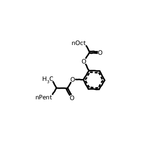 CCCCCCCCC(=O)Oc1ccccc1OC(=O)C(C)CCCCC